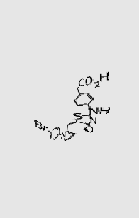 O=C(O)Cc1ccc(NC2=NC(=O)/C(=C\c3cccn3-c3ccc(Br)cc3)S2)cc1